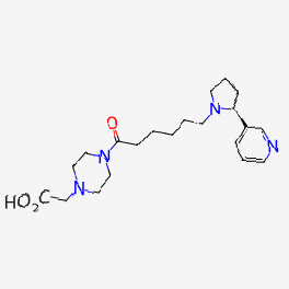 O=C(O)CN1CCN(C(=O)CCCCCN2CCC[C@H]2c2cccnc2)CC1